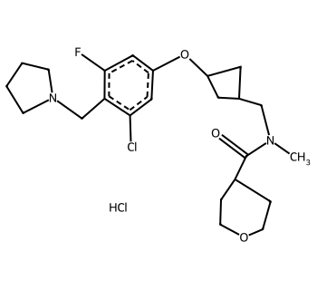 CN(CC1CC(Oc2cc(F)c(CN3CCCC3)c(Cl)c2)C1)C(=O)C1CCOCC1.Cl